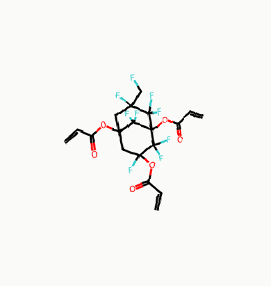 C=CC(=O)OC1(F)CC2(OC(=O)C=C)CC(F)(CF)C(F)(F)C(OC(=O)C=C)(C1(F)F)C2(F)F